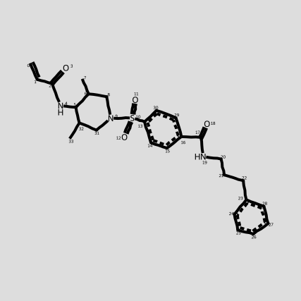 C=CC(=O)NC1C(C)CN(S(=O)(=O)c2ccc(C(=O)NCCCc3ccccc3)cc2)CC1C